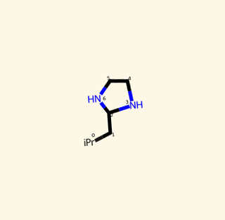 CC(C)CC1NCCN1